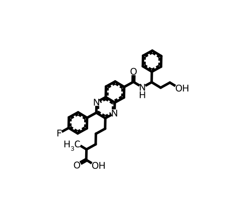 CC(CCCc1nc2cc(C(=O)NC(CCO)c3ccccc3)ccc2nc1-c1ccc(F)cc1)C(=O)O